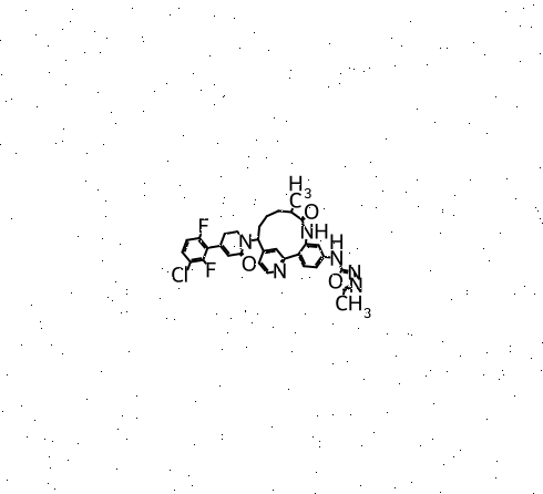 Cc1nnc(Nc2ccc3c(c2)NC(=O)C(C)CCCC(N2CCC(c4c(F)ccc(Cl)c4F)=CC2=O)c2ccnc-3c2)o1